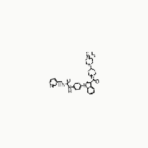 CN1CCN(C2CCN(C(=O)c3cn(-c4ccc(NC(=O)NCc5cccnc5)cc4)c4ccccc34)CC2)CC1